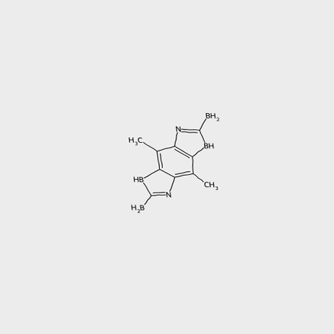 BC1=Nc2c(C)c3c(c(C)c2B1)N=C(B)B3